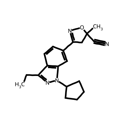 CCc1nn(C2CCCC2)c2cc(C3=NOC(C)(C#N)C3)ccc12